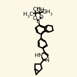 CC1(C)OB(c2ccc(-c3ccc(-c4cnc(C5CC6CC6C5)[nH]4)cc3)c3c2C2CCC3C2)OC1(C)C